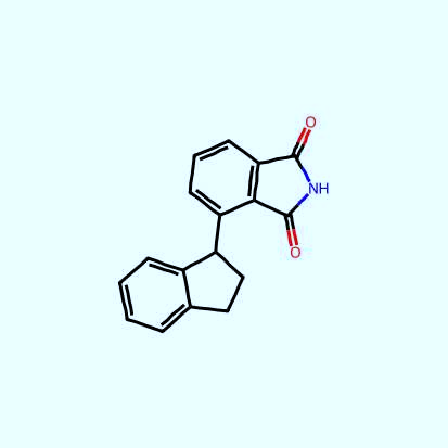 O=C1NC(=O)c2c1cccc2C1CCc2ccccc21